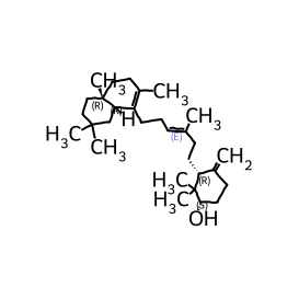 C=C1CC[C@H](O)C(C)(C)[C@@H]1CC/C(C)=C/CCC1=C(C)CC[C@@]2(C)CCC(C)(C)C[C@@H]12